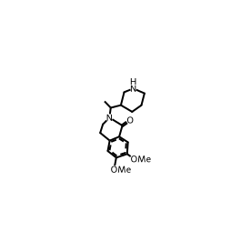 COc1cc2c(cc1OC)C(=O)N(C(C)C1CCCNC1)CC2